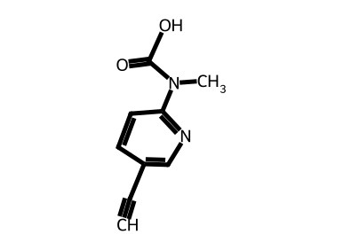 C#Cc1ccc(N(C)C(=O)O)nc1